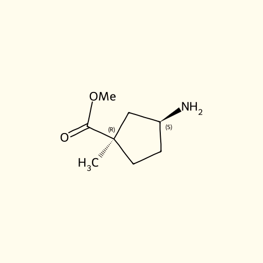 COC(=O)[C@]1(C)CC[C@H](N)C1